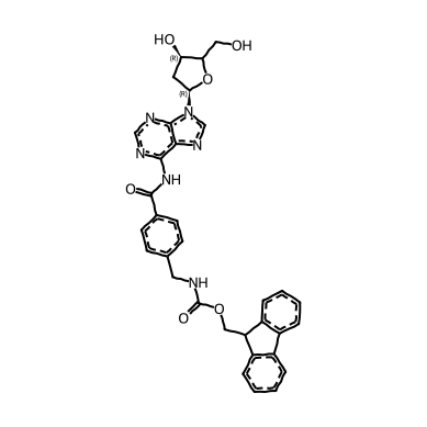 O=C(NCc1ccc(C(=O)Nc2ncnc3c2ncn3[C@H]2C[C@@H](O)C(CO)O2)cc1)OCC1c2ccccc2-c2ccccc21